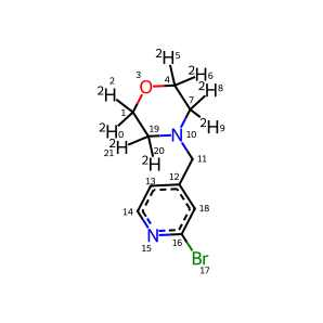 [2H]C1([2H])OC([2H])([2H])C([2H])([2H])N(Cc2ccnc(Br)c2)C1([2H])[2H]